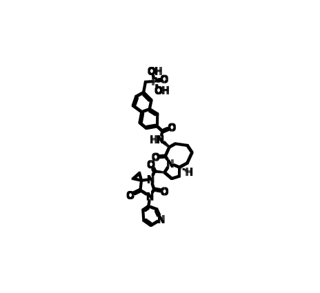 O=C(N[C@H]1CCCC[C@H]2CC[C@@H](C(=O)N3C(=O)N(c4cccnc4)C(=O)C34CC4)N2C1=O)c1ccc2ccc(CP(=O)(O)O)cc2c1